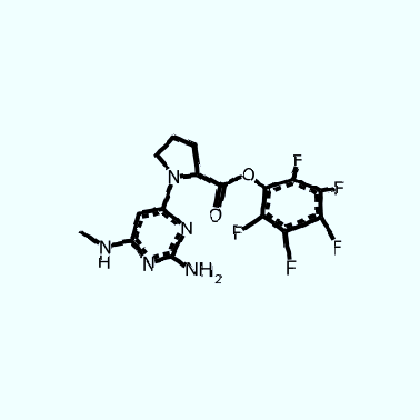 CNc1cc(N2CCCC2C(=O)Oc2c(F)c(F)c(F)c(F)c2F)nc(N)n1